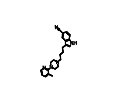 Cc1cccnc1N1CCN(CCCCc2c[nH]c3ccc(C#N)cc23)CC1